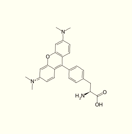 CN(C)c1ccc2c(-c3ccc(C[C@H](N)C(=O)O)cc3)c3ccc(=[N+](C)C)cc-3oc2c1